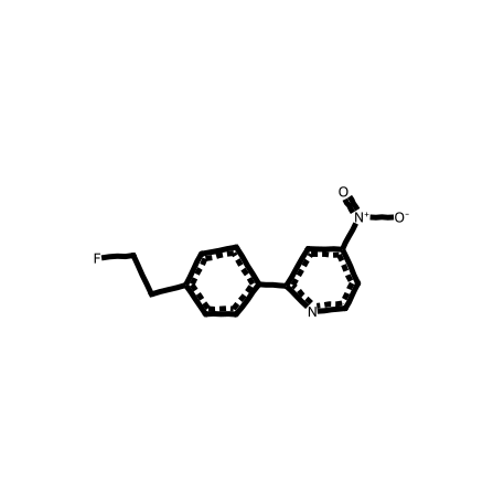 O=[N+]([O-])c1ccnc(-c2ccc(CCF)cc2)c1